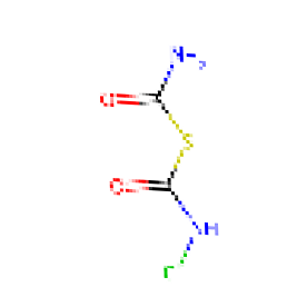 NC(=O)SC(=O)NCl